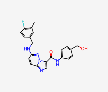 Cc1cc(CNc2ccc3ncc(C(=O)Nc4ccc(CO)cc4)n3n2)ccc1F